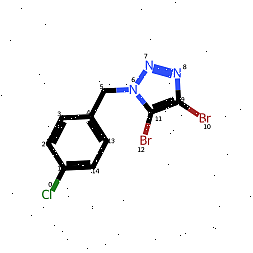 Clc1ccc(Cn2nnc(Br)c2Br)cc1